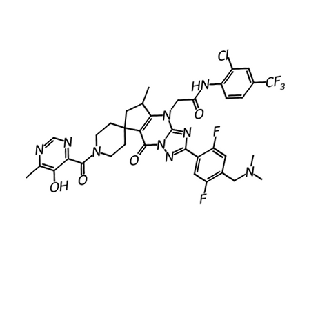 Cc1ncnc(C(=O)N2CCC3(CC2)CC(C)c2c3c(=O)n3nc(-c4cc(F)c(CN(C)C)cc4F)nc3n2CC(=O)Nc2ccc(C(F)(F)F)cc2Cl)c1O